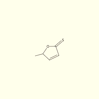 CC1C=CC(=S)O1